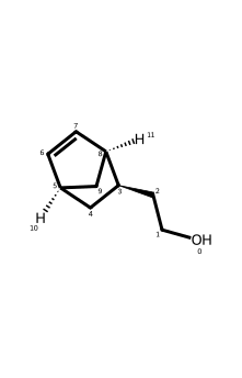 OCC[C@H]1C[C@H]2C=C[C@@H]1C2